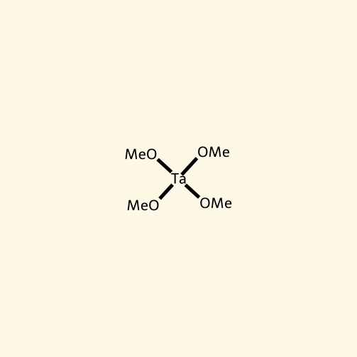 C[O][Ta]([O]C)([O]C)[O]C